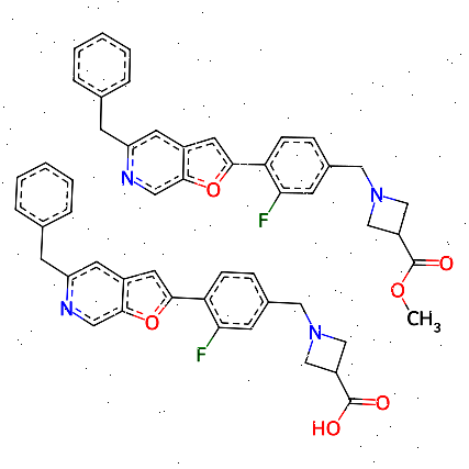 COC(=O)C1CN(Cc2ccc(-c3cc4cc(Cc5ccccc5)ncc4o3)c(F)c2)C1.O=C(O)C1CN(Cc2ccc(-c3cc4cc(Cc5ccccc5)ncc4o3)c(F)c2)C1